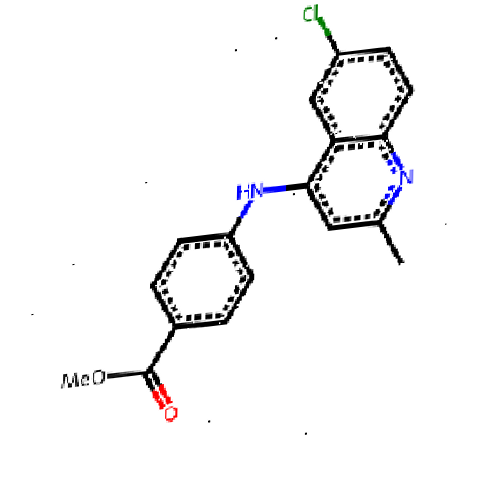 COC(=O)c1ccc(Nc2cc(C)nc3ccc(Cl)cc23)cc1